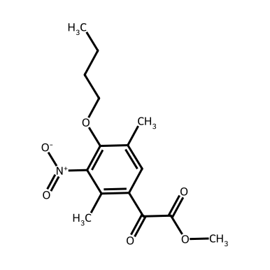 CCCCOc1c(C)cc(C(=O)C(=O)OC)c(C)c1[N+](=O)[O-]